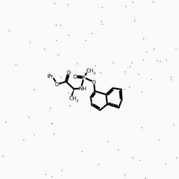 CC(C)OC(=O)[C@H](C)NP(C)(=O)Oc1cccc2ccccc12